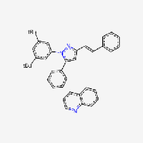 CC(C)(C)c1cc(-n2nc(C=Cc3ccccc3)cc2-c2ccccc2)cc(C(C)(C)C)c1.c1ccc2ncccc2c1